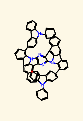 c1ccc(-n2c3ccccc3c3cc(-c4cccc5c6cc7ccccc7c7c8nc9c(nc8n(c45)c67)c4c5ccccc5cc5c6cccc(-c7ccc8c(c7)c7ccccc7n8-c7ccccc7)c6n9c54)ccc32)cc1